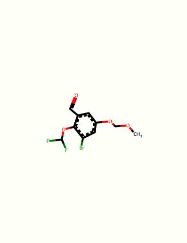 COCOc1cc(Br)c(OC(F)F)c(C=O)c1